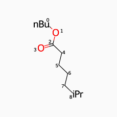 CCCCOC(=O)CCCCC(C)C